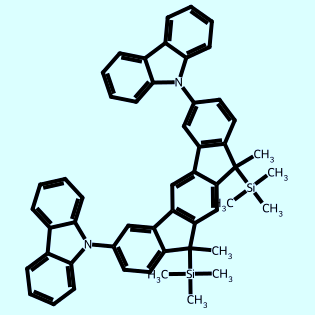 CC1([Si](C)(C)C)c2ccc(-n3c4ccccc4c4ccccc43)cc2-c2cc3c(cc21)C(C)([Si](C)(C)C)c1ccc(-n2c4ccccc4c4ccccc42)cc1-3